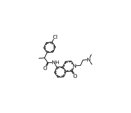 CC(C(=O)Nc1cccc2c(=O)n(CCN(C)C)ccc12)c1ccc(Cl)cc1